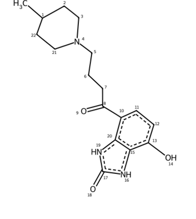 CC1CCN(CCCC(=O)c2ccc(O)c3[nH]c(=O)[nH]c23)CC1